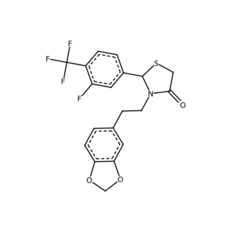 O=C1CSC(c2ccc(C(F)(F)F)c(F)c2)N1CCc1ccc2c(c1)OCO2